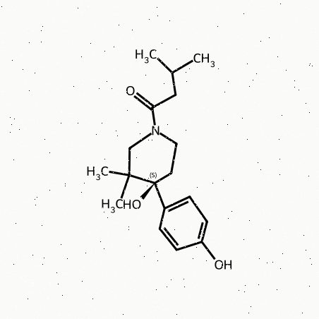 CC(C)CC(=O)N1CC[C@](O)(c2ccc(O)cc2)C(C)(C)C1